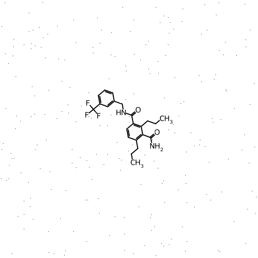 CCCc1ccc(C(=O)NCc2cccc(C(F)(F)F)c2)c(CCC)c1C(N)=O